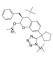 C[SiH](C)OC1Oc2cc(C3(c4nnn[n]4[Sn]([CH3])([CH3])[CH3])CCCC3)ccc2[C@@H](C(C)(C)C)[C@@H]1Cc1ccccc1